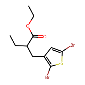 CCOC(=O)C(CC)Cc1cc(Br)sc1Br